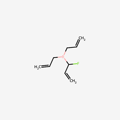 C=CCB(CC=C)C(F)C=C